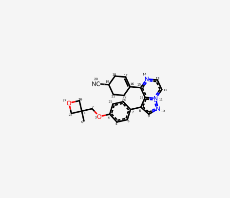 CC1(COc2ccc(-c3cnn4ccnc(C5=CCC(C#N)CC5)c34)cc2)COC1